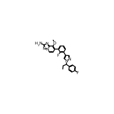 CCC(c1ccc(F)cc1)n1cc(-c2cccc(-c3ccn4nc(N)nc4c3OC)c2F)cn1